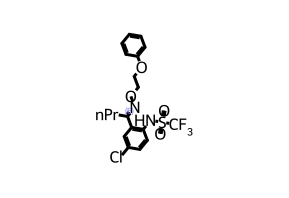 CCC/C(=N\OCCOc1ccccc1)c1cc(Cl)ccc1NS(=O)(=O)C(F)(F)F